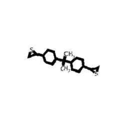 CC(C)(C1CCC(C2CS2)CC1)C1CCC(C2CS2)CC1